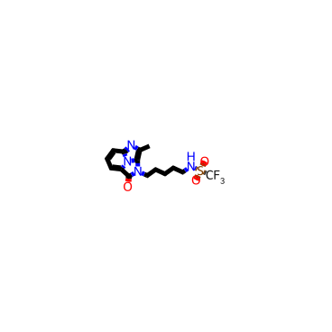 Cc1nc2cccc3c(=O)n(CCCCCNS(=O)(=O)C(F)(F)F)c1n23